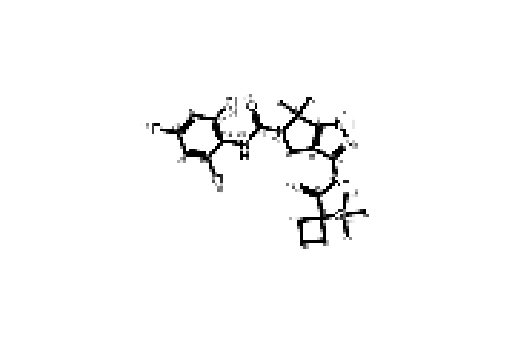 CC1(C)c2[nH]nc(NC(=O)C3([Si](C)(C)C)CCC3)c2CN1C(=O)Nc1c(Cl)cc(F)cc1Cl